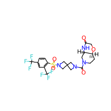 O=C1CO[C@H]2CCN(C(=O)N3CC4(C3)CN(S(=O)(=O)c3ccc(C(F)(F)F)cc3C(F)(F)F)C4)C[C@H]2N1